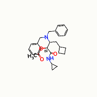 CC(=O)O[C@H](C(=O)NC1CC1)C(CC1CCC1)N(Cc1ccccc1)Cc1ccccc1